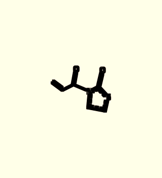 C=CC(=O)n1ccsc1=O